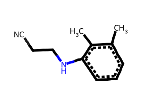 Cc1cccc(NCCC#N)c1C